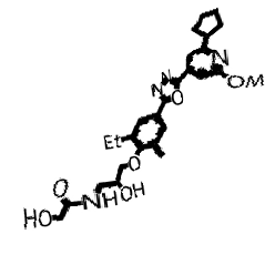 CCc1cc(-c2nnc(-c3cc(OC)nc(C4CCCC4)c3)o2)cc(C)c1OCC(O)CNC(=O)CO